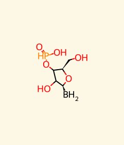 B[C@@H]1O[C@H](CO)C(O[PH](=O)O)C1O